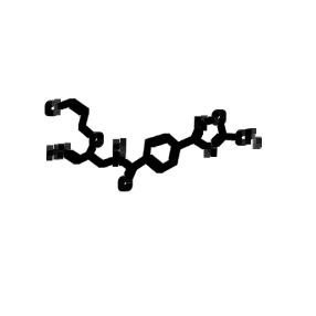 N=CC(CNC(=O)c1ccc(-c2noc(C(F)(F)F)n2)cc1)OC/C=C\Cl